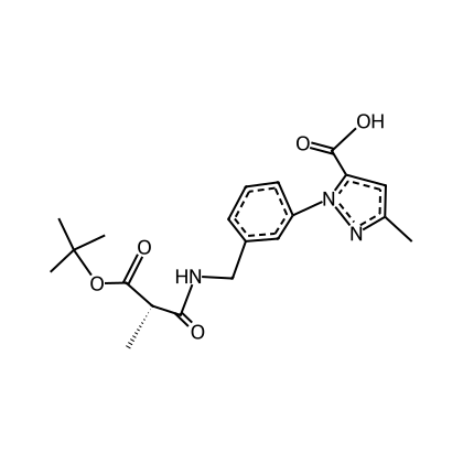 Cc1cc(C(=O)O)n(-c2cccc(CNC(=O)[C@H](C)C(=O)OC(C)(C)C)c2)n1